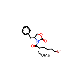 COC[C@@H](CCCCBr)C(=O)N1C(=O)OC[C@@H]1Cc1ccccc1